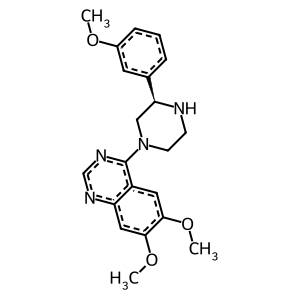 COc1cccc([C@@H]2CN(c3ncnc4cc(OC)c(OC)cc34)CCN2)c1